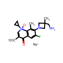 Cc1c(N2CC(C)(CN)C2)c(F)cc2c1[N+]([O-])(C1CC1)C=C(C(=O)[O-])C2=O.[Na+]